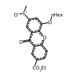 CCCCCCOc1cc([S+](C)[O-])cc2c(=O)c3cc(C(=O)OCC)ccc3oc12